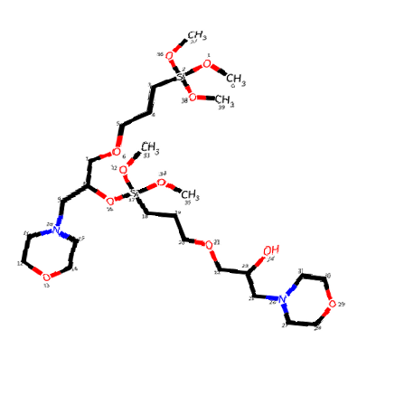 CO[Si](CCCOCC(CN1CCOCC1)O[Si](CCCOCC(O)CN1CCOCC1)(OC)OC)(OC)OC